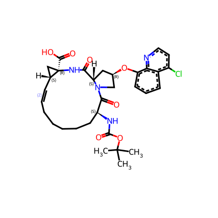 CC(C)(C)OC(=O)N[C@H]1CCCCC/C=C\[C@@H]2C[C@@]2(C(=O)O)NC(=O)[C@@H]2C[C@@H](Oc3cccc4c(Cl)ccnc34)CN2C1=O